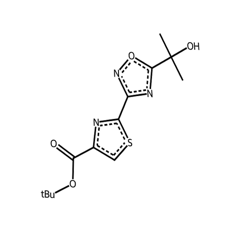 CC(C)(C)OC(=O)c1csc(-c2noc(C(C)(C)O)n2)n1